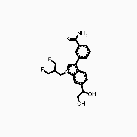 NC(=S)c1cccc(-c2cn(CC(CF)CF)c3cc(C(O)CO)ccc23)c1